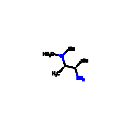 CCCC[C@H](N)[C@H](C)N(C(=O)O)C(C)(C)C